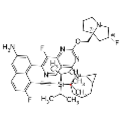 CC(C)[Si](C#Cc1c(F)ccc2cc(N)cc(-c3ncc4c(N5CCCCC6CC65)nc(OC[C@@]56CCCN5C[C@H](F)C6)nc4c3F)c12)(C(C)C)C(C)C